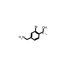 C[C@@H](O)c1ccc(CN)cc1Br